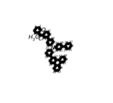 CC1(C)c2ccccc2Oc2ccc(-c3ccc(N(c4ccc(-c5ccccc5)cc4)c4cccc(-c5ccc6c7ccccc7c7ccccc7c6c5)c4)cc3)cc21